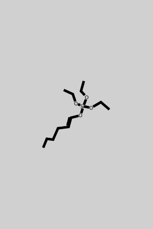 CCCCC=CO[Si](OCC)(OCC)OCC